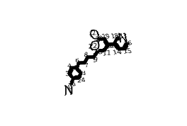 N#Cc1ccc(CCCCC2CC(c3cccnc3)=CC(=O)O2)cc1